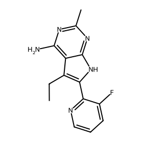 CCc1c(-c2ncccc2F)[nH]c2nc(C)nc(N)c12